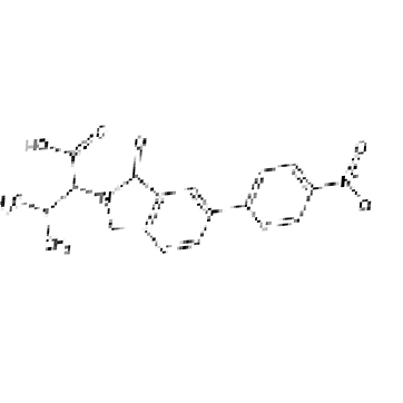 CC(C)C(C(=O)O)N1Cc2ccc(-c3ccc([N+](=O)[O-])cc3)cc2C1=O